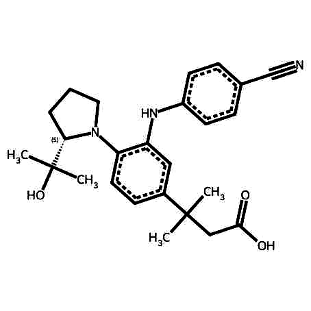 CC(C)(CC(=O)O)c1ccc(N2CCC[C@H]2C(C)(C)O)c(Nc2ccc(C#N)cc2)c1